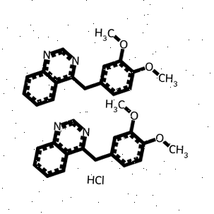 COc1ccc(Cc2ncnc3ccccc23)cc1OC.COc1ccc(Cc2ncnc3ccccc23)cc1OC.Cl